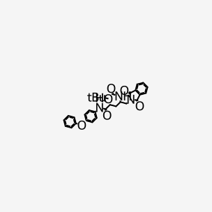 CC(C)(C)OC(=O)NC(CCC(=O)Nc1ccc(Oc2ccccc2)cc1)CN1C(=O)c2ccccc2C1=O